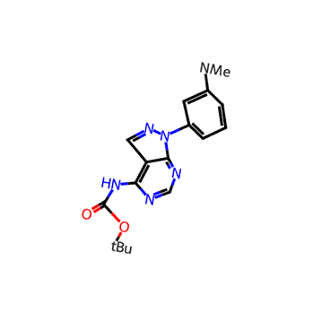 CNc1cccc(-n2ncc3c(NC(=O)OC(C)(C)C)ncnc32)c1